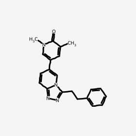 Cc1cc(-c2ccc3nnc(CCc4ccccc4)n3c2)cn(C)c1=O